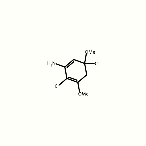 COC1=C(Cl)C(N)=CC(Cl)(OC)C1